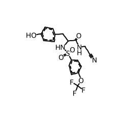 N#CCNC(=O)C(Cc1ccc(O)cc1)NS(=O)(=O)c1ccc(OC(F)(F)F)cc1